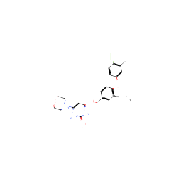 Cc1cc(Oc2ccc(COc3cc(N4CCOCC4)n(C)c(=O)n3)cc2C#N)ccc1F